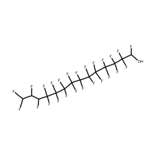 OC(F)C(F)(F)C(F)(F)C(F)(F)C(F)(F)C(F)(F)C(F)(F)C(F)(F)C(F)(F)C(F)(F)C(F)(F)C(F)C(F)C(F)F